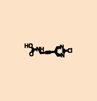 O=C(O)NCC#Cc1cnc(Cl)nc1